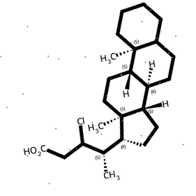 C[C@H](C(Cl)CC(=O)O)[C@H]1CC[C@H]2[C@@H]3CCC4CCCC[C@]4(C)[C@H]3CC[C@]12C